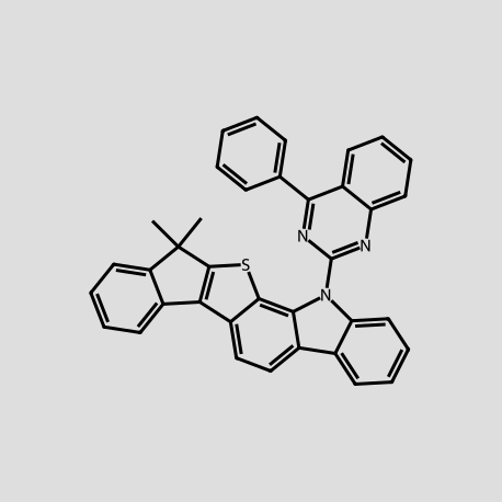 CC1(C)c2ccccc2-c2c1sc1c2ccc2c3ccccc3n(-c3nc(-c4ccccc4)c4ccccc4n3)c21